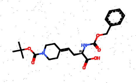 CC(C)(C)OC(=O)N1CCC(=CC[C@@H](NC(=O)OCc2ccccc2)C(=O)O)CC1